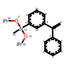 C=C(c1ccccc1)c1cccc([Si](C)(OC(C)C)OC(C)C)c1